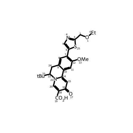 CCOCc1ncc(-c2cc3c(cc2OC)-c2cc(=O)c(C(=O)O)cn2C(C(C)(C)C)C3)s1